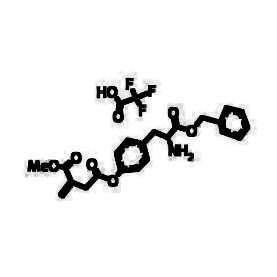 C=C(CC(=O)Oc1ccc(C[C@H](N)C(=O)OCc2ccccc2)cc1)C(=O)OC.O=C(O)C(F)(F)F